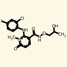 CC(O)CONC(=O)c1ccc(=O)n(C)c1Nc1ccc(I)cc1Cl